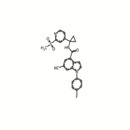 CS(=O)(=O)c1cc(C2(NC(=O)c3cc(C#N)cc4c3ccn4-c3ccc(F)cc3)CC2)ccn1